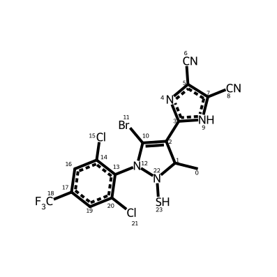 CC1C(c2nc(C#N)c(C#N)[nH]2)=C(Br)N(c2c(Cl)cc(C(F)(F)F)cc2Cl)N1S